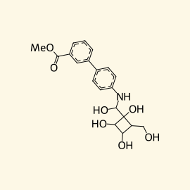 COC(=O)c1cccc(-c2ccc(NC(O)C3(O)C(O)C(O)C3CO)cc2)c1